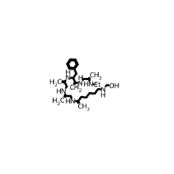 C=C(CCCCCNCO)NCC(=C)NCC(=C)NC(Cc1ccccc1)C(=C)NCC(=C)NCC